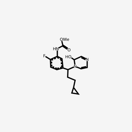 COC(=O)Nc1cc(C(CCC2CC2)N2C=CN=CC2O)ccc1F